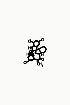 CN(C(=O)C1[C@H]2CCCCN2[C@]2(C(=O)Nc3c(Cl)cc(Cl)cc32)[C@H]1C(=O)O)c1cc(Cl)cc(Cl)c1